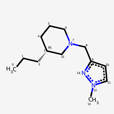 CCC[C@@H]1CCCN(Cc2ccn(C)n2)C1